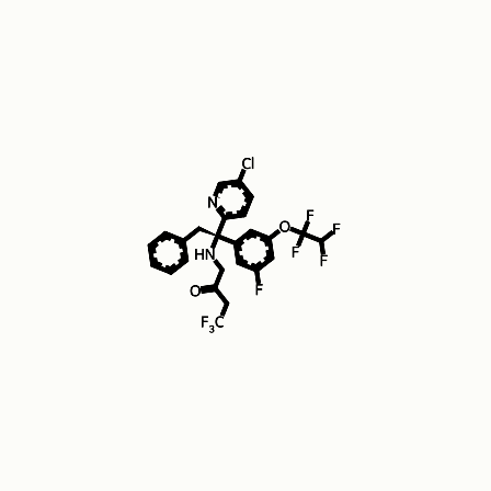 O=C(CN[C@@](Cc1ccccc1)(c1cc(F)cc(OC(F)(F)C(F)F)c1)c1ccc(Cl)cn1)CC(F)(F)F